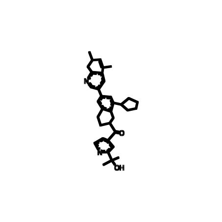 CC1=CC(C)Cc2ncc(-c3cc4c(c(C5CCCC5)c3)CC(C(=O)c3ccnc(C(C)(C)O)c3)CC4)cc21